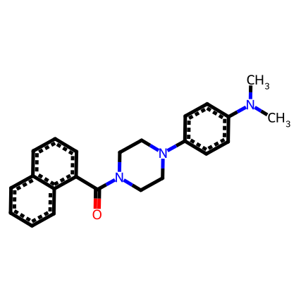 CN(C)c1ccc(N2CCN(C(=O)c3cccc4ccccc34)CC2)cc1